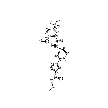 CCOC(=O)c1cc(-c2cccc(NC(=O)c3cc(C(C)(C)C)ccc3OC)c2)on1